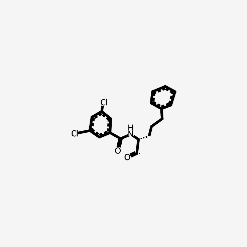 O=[C][C@@H](CCCc1ccccc1)NC(=O)c1cc(Cl)cc(Cl)c1